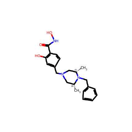 C[C@@H]1CN(Cc2ccc(C(=O)NO)c(O)c2)C[C@H](C)N1Cc1ccccc1